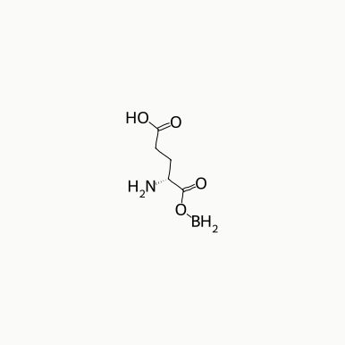 BOC(=O)[C@H](N)CCC(=O)O